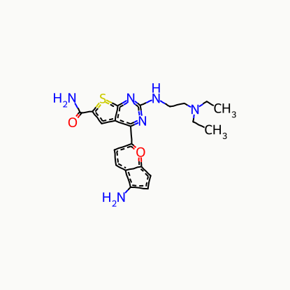 CCN(CC)CCNc1nc(-c2ccc3c(N)ccc-3o2)c2cc(C(N)=O)sc2n1